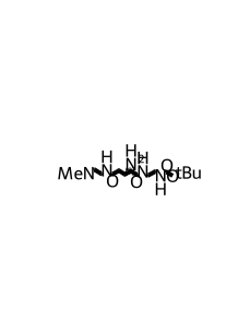 CNCCNC(=O)CC[C@H](N)C(=O)NCCNC(=O)OC(C)(C)C